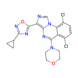 Clc1ccc(Cl)c2c1c(N1CCOCC1)nc1c(-c3nc(C4CC4)no3)ncn12